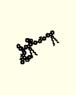 CCCCCCCC1(CCCCCCC)c2ccccc2-c2ccc(-c3ccc4c(c3)C(C)(C)c3cc(-c5ccc(-c6cc7c(c8c6oc6ccccc68)-c6ccc(N(c8ccc9c(c8)C(C)(C)c8c%10c(c%11oc%12ccccc%12c%11c8-9)-c8ccccc8C%10(C)C)c8ccc9ccccc9c8)cc6C7(CCCCCCC)CCCCCCC)cc5)ccc3-4)cc21